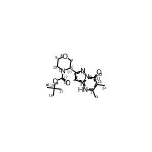 Cc1[nH]c2cc([C@@H]3COCCN3C(=O)OC(C)(C)C)nn2c(=O)c1C